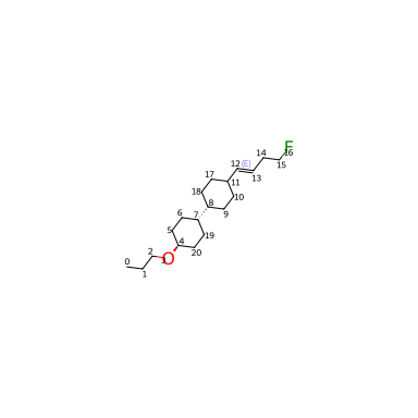 CCCO[C@H]1CC[C@H](C2CCC(/C=C/CCF)CC2)CC1